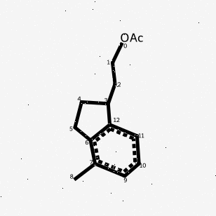 CC(=O)OCCC1CCc2c(C)cccc21